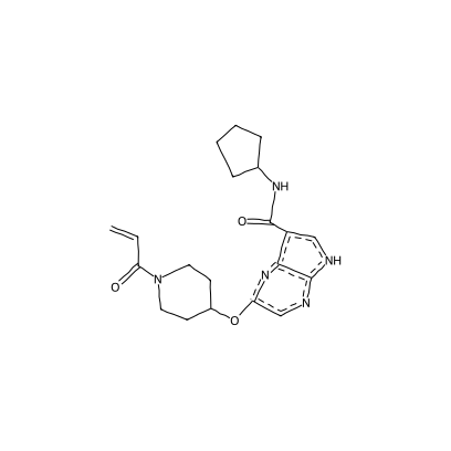 C=CC(=O)N1CCC(Oc2cnc3[nH]cc(C(=O)NC4CCCC4)c3n2)CC1